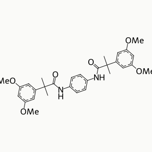 COc1cc(OC)cc(C(C)(C)C(=O)Nc2ccc(NC(=O)C(C)(C)c3cc(OC)cc(OC)c3)cc2)c1